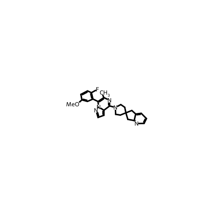 COc1ccc(F)c(-c2c(C)nc(N3CCC4(CC3)Cc3cccnc3C4)c3ccnn23)c1